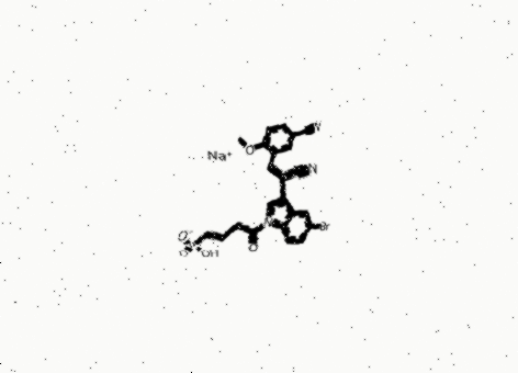 COc1ccc(C#N)cc1/C=C(\C#N)c1cn(C(=O)CCCP(=O)([O-])O)c2ccc(Br)cc12.[Na+]